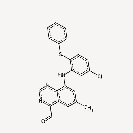 Cc1cc(Nc2cc(Cl)ccc2Sc2ccccc2)c2ncnc(C=O)c2c1